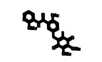 COC1=C(OC)C(=O)C(Cc2ccc(OC(C)=O)c(C(=O)Nc3cccnc3OC)c2)=C(C)C1=O